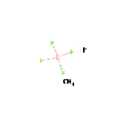 C.F[B-](F)(F)F.[H+]